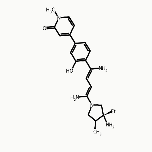 CC[C@]1(N)CN(/C(N)=C/C=C(\N)c2ccc(-c3ccn(C)c(=O)c3)cc2O)C[C@@H]1C